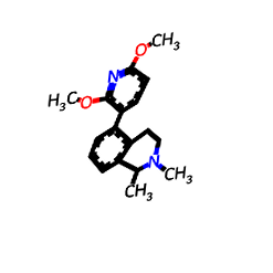 COc1ccc(-c2cccc3c2CCN(C)C3C)c(OC)n1